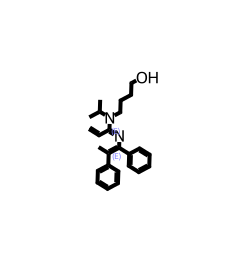 C=C/C(=N\C(=C(/C)c1ccccc1)c1ccccc1)N(CCCCO)C(C)C